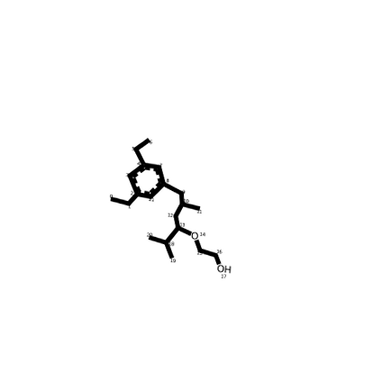 CCc1cc(CC)cc(CC(C)CC(OCCO)C(C)C)c1